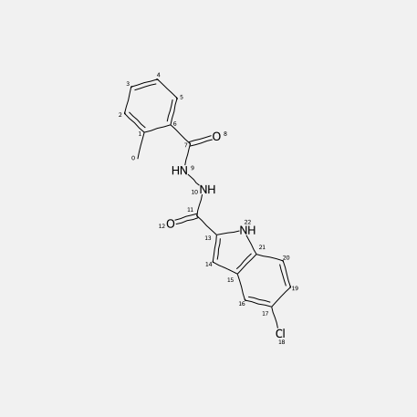 Cc1ccccc1C(=O)NNC(=O)c1cc2cc(Cl)ccc2[nH]1